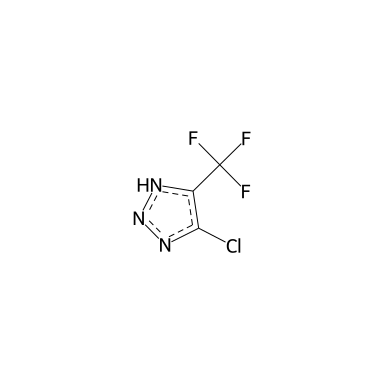 FC(F)(F)c1[nH]nnc1Cl